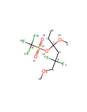 CCC(CC(F)(F)COC)(OC)OS(=O)(=O)C(F)(F)F